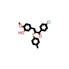 COc1ccc(C=C(Sc2ccc(C)cc2)C(=O)c2ccc(Cl)cc2)cc1O